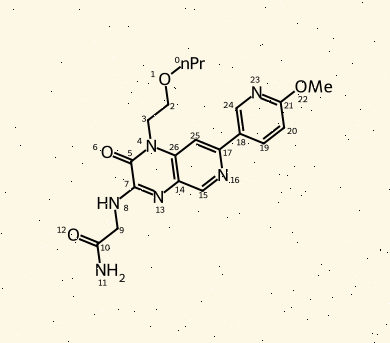 CCCOCCn1c(=O)c(NCC(N)=O)nc2cnc(-c3ccc(OC)nc3)cc21